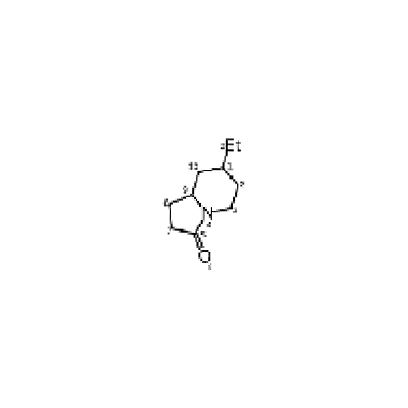 CCC1CCN2C(=O)CCC2C1